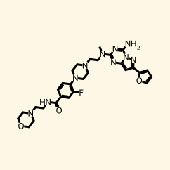 CN(CCN1CCN(c2ccc(C(=O)NCCN3CCOCC3)cc2F)CC1)c1nc(N)n2nc(-c3ccco3)cc2n1